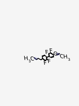 C/C=C/CCc1ccc(-c2ccc(O/C=C/C)c(F)c2F)c(F)c1F